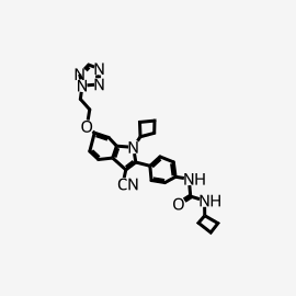 N#Cc1c(-c2ccc(NC(=O)NC3CCC3)cc2)n(C2CCC2)c2cc(OCCn3ncnn3)ccc12